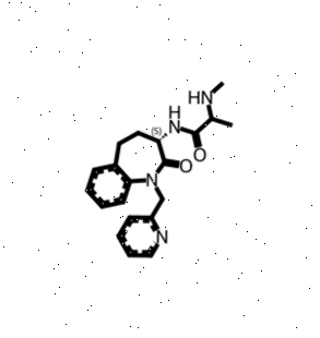 CNC(C)C(=O)N[C@H]1CCc2ccccc2N(Cc2ccccn2)C1=O